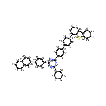 c1ccc(-c2nc(-c3ccc(-c4ccc(-c5cccc6c5sc5ccccc56)cc4)cc3)nc(-c3ccc(-c4ccc5ccccc5c4)cc3)n2)cc1